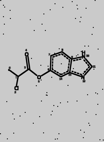 CC(Cl)C(=O)Oc1ccc2[nH]cnc2c1